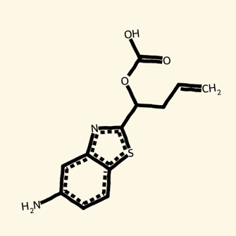 C=CCC(OC(=O)O)c1nc2cc(N)ccc2s1